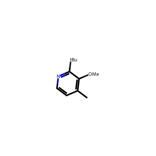 COc1c(C)ccnc1C(C)(C)C